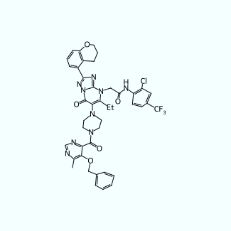 CCc1c(N2CCN(C(=O)c3ncnc(C)c3OCc3ccccc3)CC2)c(=O)n2nc(-c3cccc4c3CCCO4)nc2n1CC(=O)Nc1ccc(C(F)(F)F)cc1Cl